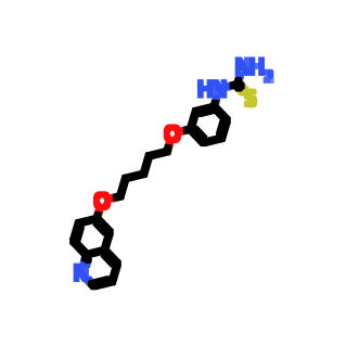 NC(=S)Nc1cccc(OCCCCCOc2ccc3ncccc3c2)c1